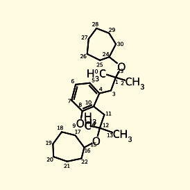 CC(C)(Cc1cccc(O)c1CC(C)(C)OC1CCCCCC1)OC1CCCCCC1